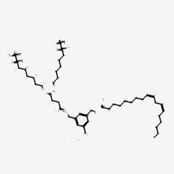 CCCCC/C=C\C/C=C\CCCCCCCC(=O)OCc1cc(CO)cc(COC(=O)CCC(OCCCCCCC(F)(F)C(F)(F)F)OCCCCCCC(F)(F)C(F)(F)F)c1